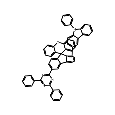 c1ccc(-c2nc(-c3ccccc3)nc(-c3ccc4c(c3)-c3cccc(-c5ccc6c(c5)c5ccccc5n6-c5ccccc5)c3C43c4ccccc4Oc4ccccc43)n2)cc1